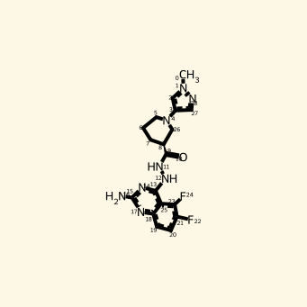 Cn1cc(N2CCC[C@H](C(=O)NNc3nc(N)nc4ccc(F)c(F)c34)C2)cn1